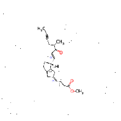 CC#CCC(C)C(=O)/C=C/[C@H]1CCC2C/C(=C/CCC(=O)OC)C[C@@H]21